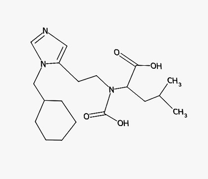 CC(C)CC(C(=O)O)N(CCc1cncn1CC1CCCCC1)C(=O)O